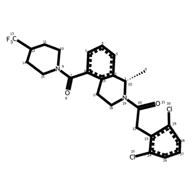 C[C@H]1c2cccc(C(=O)N3CCC(C(F)(F)F)CC3)c2CCN1C(=O)Cc1c(Cl)cccc1Cl